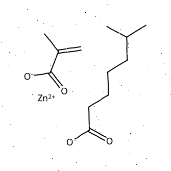 C=C(C)C(=O)[O-].CC(C)CCCCC(=O)[O-].[Zn+2]